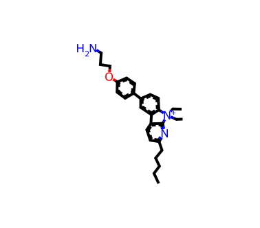 CCCCCc1ccc2c(n1)[N+](CC)(CC)c1ccc(-c3ccc(OCCCN)cc3)cc1-2